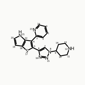 c1ccc(-c2c(-c3cn(C4CCNCC4)nn3)sc3cc[nH]c23)nc1